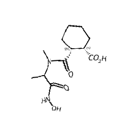 CC(C(=O)NO)N(C)C(=O)[C@@H]1CCCC[C@@H]1C(=O)O